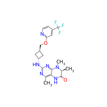 Cc1nc(N[C@H]2C[C@H](COc3cc(C(F)(F)F)ccn3)C2)nc2c1NC(=O)[C@H](C)N2C